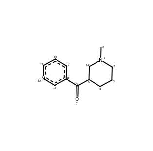 CN1CCCC(C(=O)c2cccnc2)C1